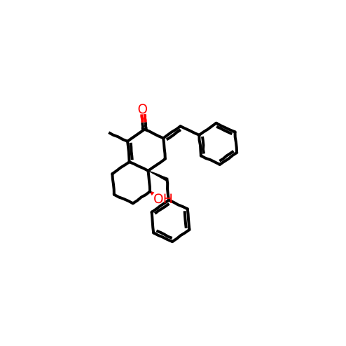 CC1=C2CCC[C@H](O)[C@@]2(Cc2ccccc2)CC(=Cc2ccccc2)C1=O